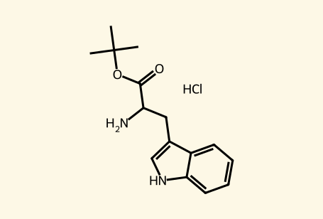 CC(C)(C)OC(=O)C(N)Cc1c[nH]c2ccccc12.Cl